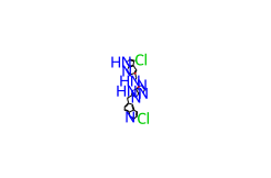 Clc1cnc2ccc(Cc3nc4ncnc(NCc5cnc6[nH]cc(Cl)c6c5)c4[nH]3)cc2c1